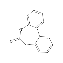 O=C1Cc2ccccc2-c2ccccc2[N]1